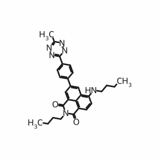 CCCCNc1ccc2c3c(cc(-c4ccc(-c5nnc(C)nn5)cc4)cc13)C(=O)N(CCCC)C2=O